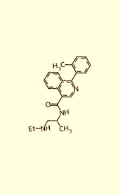 CCNCC(C)NC(=O)c1cnc(-c2ccccc2C)c2ccccc12